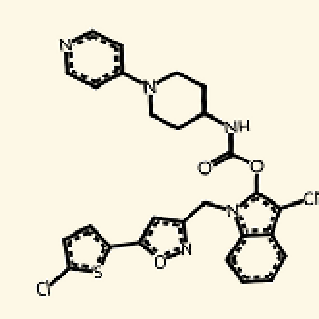 N#Cc1c(OC(=O)NC2CCN(c3ccncc3)CC2)n(Cc2cc(-c3ccc(Cl)s3)on2)c2ccccc12